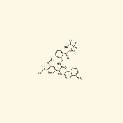 CCOc1cc(C(Nc2ccc3c(N)nccc3c2)C(=O)NCc2ccccc2C(=O)NC)ccc1OC(C)C.O=C(O)C(F)(F)F